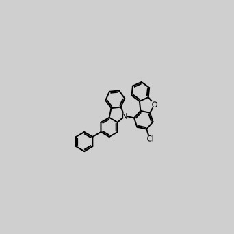 Clc1cc(-n2c3ccccc3c3cc(-c4ccccc4)ccc32)c2c(c1)oc1ccccc12